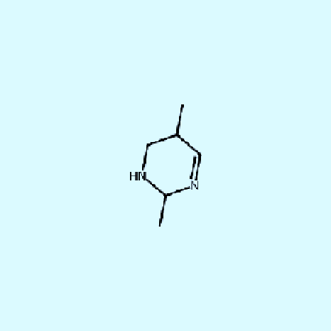 CC1C=NC(C)NC1